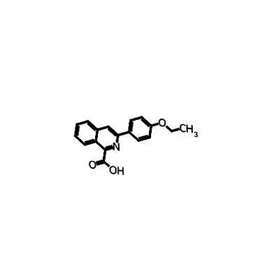 CCOc1ccc(-c2cc3ccccc3c(C(=O)O)n2)cc1